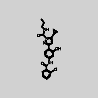 CCCNC(=O)n1nc(-c2ccc(NC(=O)c3ccccc3Cl)cc2O)cc1C1CC1